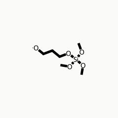 CO[Si](OC)(OC)OCCC[O]